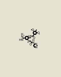 COc1cc(C(=O)NCc2ccc(C(=N)N)cc2N(C)CC(=O)Nc2ccncn2)cc(OC)c1C